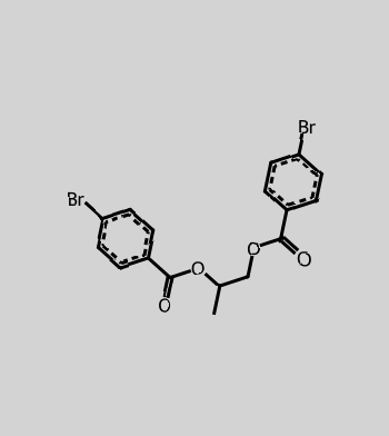 CC(COC(=O)c1ccc(Br)cc1)OC(=O)c1ccc(Br)cc1